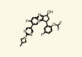 CC1CN(c2ncc(-c3cn4c5c(nc4cc3F)C(O)CC5c3cc(F)ccc3OC(F)F)cn2)C1